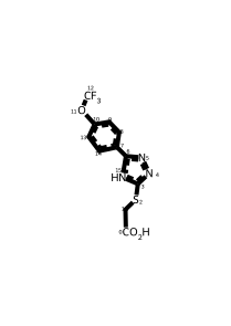 O=C(O)CSc1nnc(-c2ccc(OC(F)(F)F)cc2)[nH]1